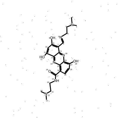 CN(C)CCN=Cc1c(O)cc(O)c2nc3c(C(=O)NCCN(C)C)ccc(O)c3nc12